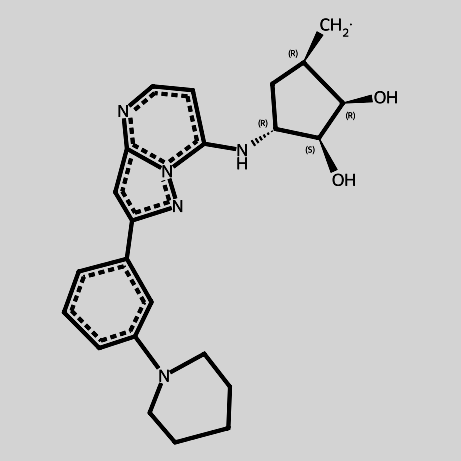 [CH2][C@@H]1C[C@@H](Nc2ccnc3cc(-c4cccc(N5CCCCC5)c4)nn23)[C@H](O)[C@@H]1O